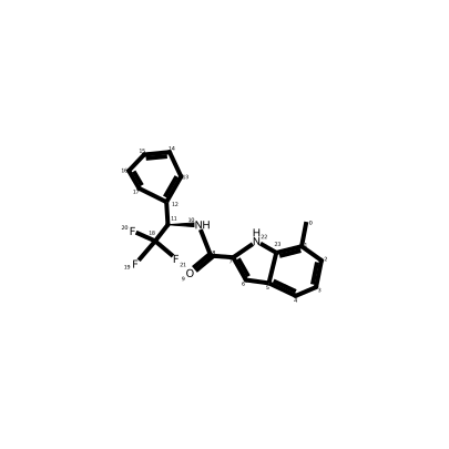 Cc1cccc2cc(C(=O)N[C@H](c3ccccc3)C(F)(F)F)[nH]c12